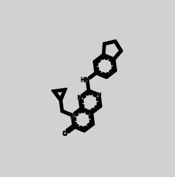 O=c1ccc2cnc(Nc3ccc4c(c3)CCC4)nc2n1CC1CC1